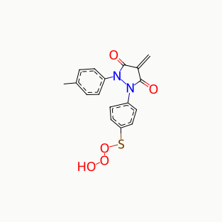 C=C1C(=O)N(c2ccc(C)cc2)N(c2ccc(SOOO)cc2)C1=O